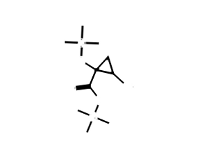 CC(C)(C)C1CC1(O[Si](C)(C)C)C(=O)O[Si](C)(C)C